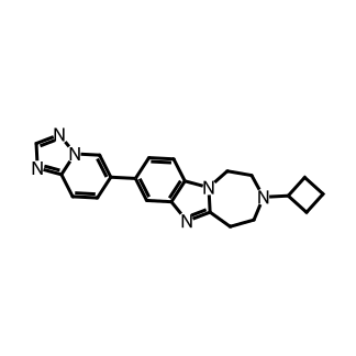 c1nc2ccc(-c3ccc4c(c3)nc3n4CCN(C4CCC4)CC3)cn2n1